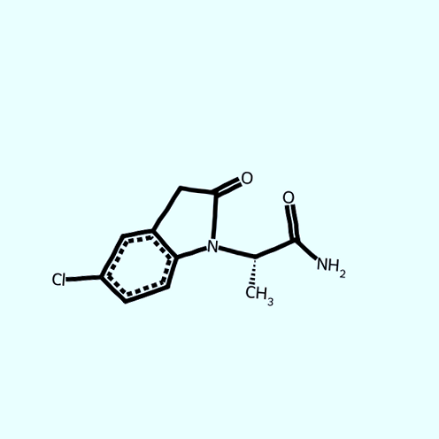 C[C@@H](C(N)=O)N1C(=O)Cc2cc(Cl)ccc21